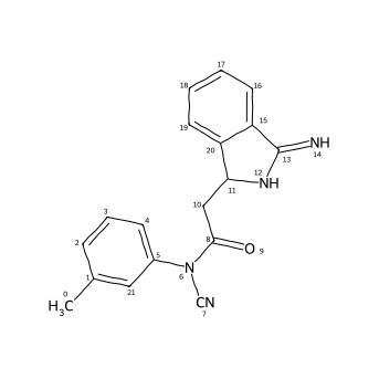 Cc1cccc(N(C#N)C(=O)CC2NC(=N)c3ccccc32)c1